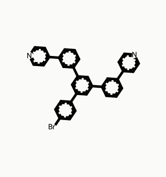 Brc1ccc(-c2cc(-c3cccc(-c4ccncc4)c3)cc(-c3cccc(-c4ccncc4)c3)c2)cc1